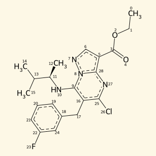 CCOC(=O)c1cnn2c(N[C@H](C)C(C)C)c(Cc3cccc(F)c3)c(Cl)nc12